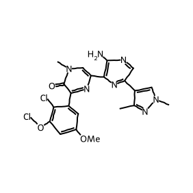 COc1cc(OCl)c(Cl)c(-c2nc(-c3nc(-c4cn(C)nc4C)cnc3N)cn(C)c2=O)c1